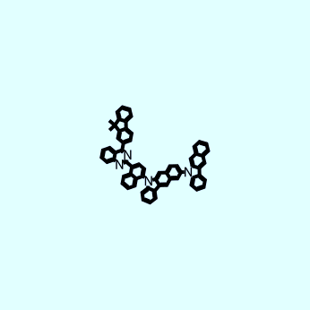 CC1(C)c2ccccc2-c2ccc(-c3nc(-c4ccc(-n5c6ccccc6c6cc7cc(-n8c9ccccc9c9cc%10ccccc%10cc98)ccc7cc65)c5ccccc45)nc4ccccc34)cc21